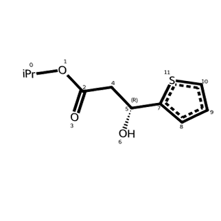 CC(C)OC(=O)C[C@@H](O)c1cccs1